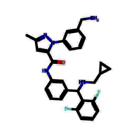 Cc1cc(C(=O)Nc2cccc(C(NCC3CC3)c3c(F)cccc3F)c2)n(-c2cccc(CN)c2)n1